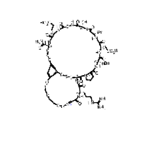 CCCC[C@@H]1NC(=O)[C@@H]2CCCN2C(=O)[C@@H]2CSCc3cc(cc(c3)OCCCCCCO/N=C/C(=O)N[C@@H](CCCNC(=N)N)C(=O)N2)CSC[C@@H](C(N)=O)NC(=O)[C@H](CCC(=O)O)NC(=O)CNC(=O)[C@H](C)NC(=O)[C@H](C(C)C)NC(=O)[C@H](CC(=O)O)NC1=O